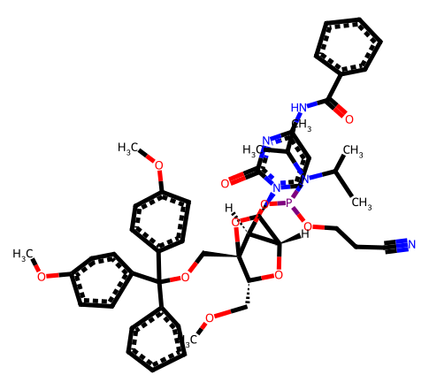 COC[C@H]1O[C@H]2[C@H](n3ccc(NC(=O)c4ccccc4)nc3=O)O[C@]1(COC(c1ccccc1)(c1ccc(OC)cc1)c1ccc(OC)cc1)[C@H]2OP(OCCC#N)N(C(C)C)C(C)C